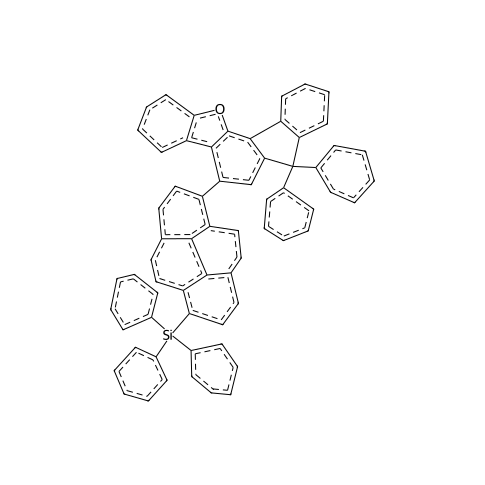 c1ccc(C2(c3ccccc3)c3ccccc3-c3c2cc(-c2ccc4ccc5c([Si](c6ccccc6)(c6ccccc6)c6ccccc6)ccc6ccc2c4c65)c2c3oc3ccccc32)cc1